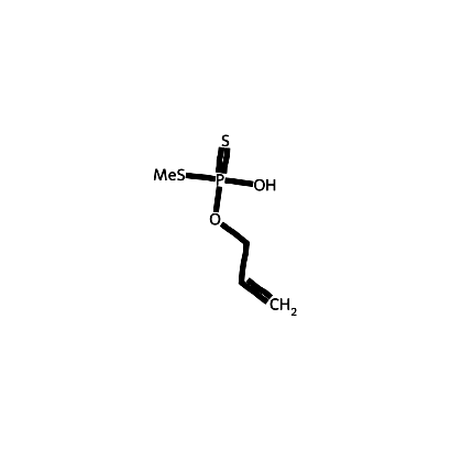 C=CCOP(O)(=S)SC